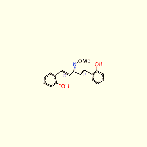 CON=C(/C=C/c1ccccc1O)/C=C/c1ccccc1O